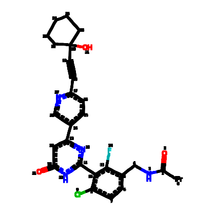 CC(C)C(=O)NCc1ccc(Cl)c(-c2nc(-c3ccc(C#CC4(O)CCCCC4)nc3)cc(=O)[nH]2)c1F